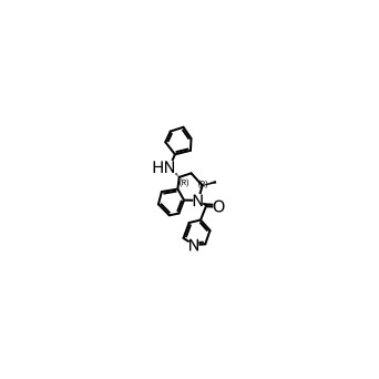 C[C@@H]1C[C@@H](Nc2ccccc2)c2ccccc2N1C(=O)c1ccncc1